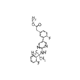 COC(=O)Cc1ccc(F)c(-c2cnc(NC(C)(C)c3ncccc3F)nc2)c1